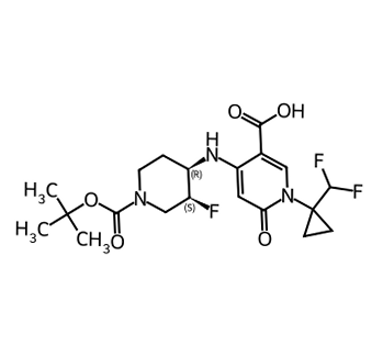 CC(C)(C)OC(=O)N1CC[C@@H](Nc2cc(=O)n(C3(C(F)F)CC3)cc2C(=O)O)[C@@H](F)C1